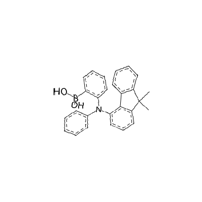 CC1(C)c2ccccc2-c2c(N(c3ccccc3)c3ccccc3B(O)O)cccc21